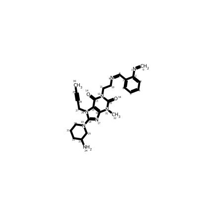 C=Nc1ccccc1/C=N\CCn1c(=O)c2c(nc(N3CCCC(N)C3)n2CC#CC)n(C)c1=O